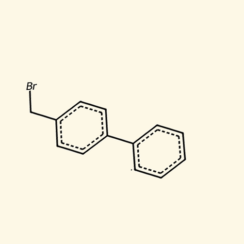 BrCc1ccc(-c2[c]cccc2)cc1